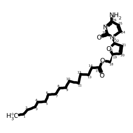 CCCCCCCCCCCCCCCC(=O)OC[C@@H]1C=C[C@H](n2ccc(N)nc2=O)O1